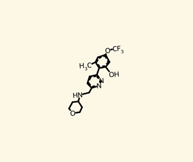 Cc1cc(OC(F)(F)F)cc(O)c1-c1ccc(CNC2CCOCC2)nn1